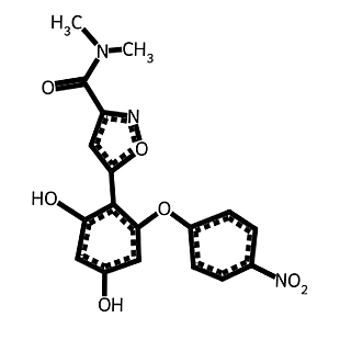 CN(C)C(=O)c1cc(-c2c(O)cc(O)cc2Oc2ccc([N+](=O)[O-])cc2)on1